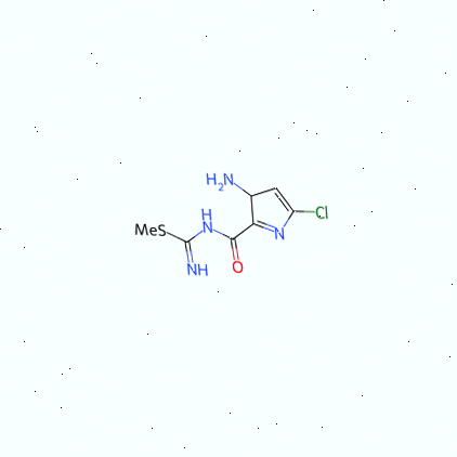 CSC(=N)NC(=O)C1=NC(Cl)=CC1N